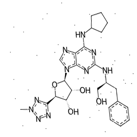 Cn1nnc([C@H]2O[C@@H](n3cnc4c(NC5CCCC5)nc(N[C@H](CO)Cc5ccccc5)nc43)[C@H](O)[C@@H]2O)n1